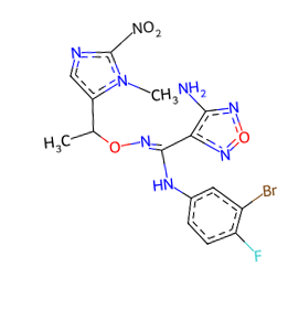 CC(O/N=C(\Nc1ccc(F)c(Br)c1)c1nonc1N)c1cnc([N+](=O)[O-])n1C